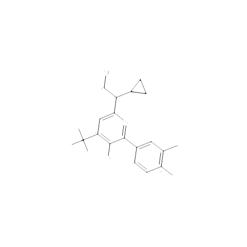 CC(C)(O)c1cc(C(CN)C2CC2)nc(-c2ccc(I)c(I)c2)c1P